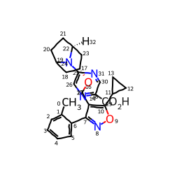 Cc1ccccc1-c1noc(C2CC2)c1CO[C@@H]1CC2CC[C@@H](C1)N2c1cnc(C(=O)O)cn1